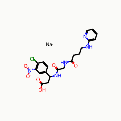 O=C(O)CC(NC(=O)CNC(=O)CCCNc1ccccn1)c1ccc(Cl)c([N+](=O)[O-])c1.[Na]